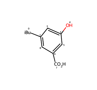 CCC(C)c1cc(O)cc(C(=O)O)c1